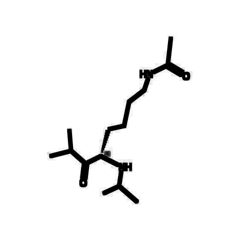 CC(=O)NCCCC[C@H](NC(C)C)C(=O)C(C)C